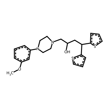 COc1cccc(N2CCN(CC(O)CC(c3cccs3)c3cccs3)CC2)c1